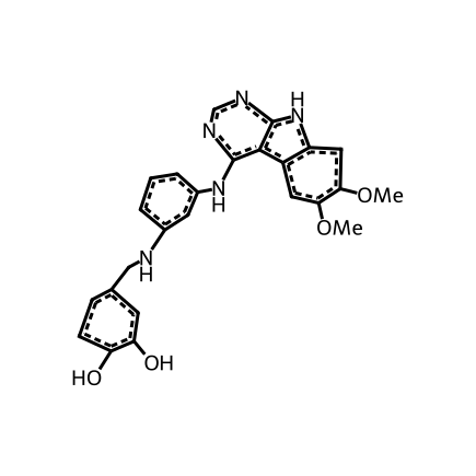 COc1cc2[nH]c3ncnc(Nc4cccc(NCc5ccc(O)c(O)c5)c4)c3c2cc1OC